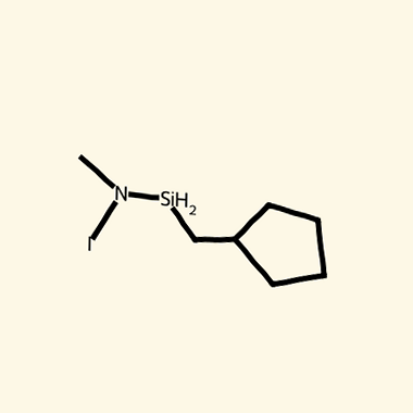 CN(I)[SiH2]CC1CCCC1